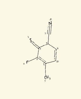 CC1=C(F)C(=S)C(C#N)C=C1